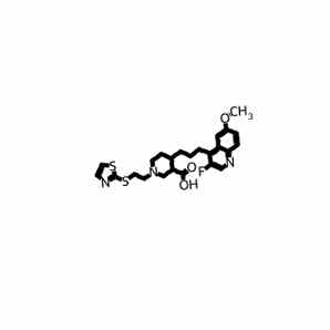 COc1ccc2ncc(F)c(CCCC3CCN(CCSc4nccs4)CC3C(=O)O)c2c1